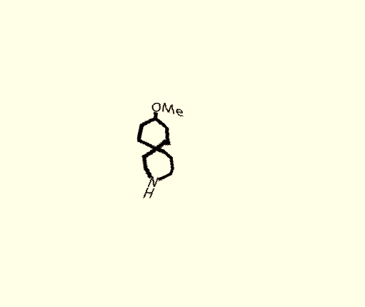 COC1CCC2(CCNCC2)CC1